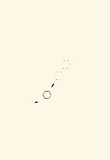 CC1CCC(C2CCC(C#Cc3ccc(SC#N)cc3)CC2)CC1